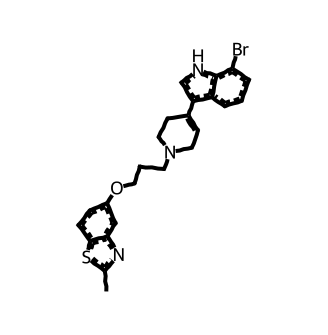 Cc1nc2cc(OCCCN3CC=C(c4c[nH]c5c(Br)cccc45)CC3)ccc2s1